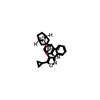 N#Cc1ccc(N2[C@@H]3CC[C@H]2C[C@@H](OCc2c(-c4ccccc4C(F)(F)F)noc2C2CC2)C3)cc1F